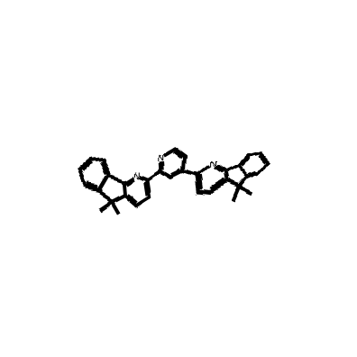 CC1(C)c2ccccc2-c2nc(-c3ccnc(-c4ccc5c(n4)-c4ccccc4C5(C)C)c3)ccc21